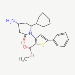 COC(=O)c1sc(-c2ccccc2)cc1N1C(=O)CC(N)CC1C1CCCCC1